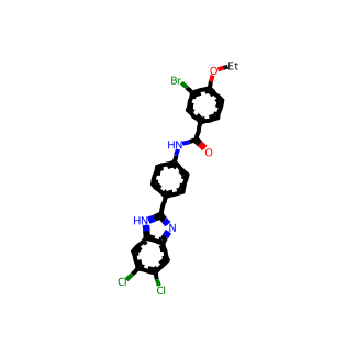 CCOc1ccc(C(=O)Nc2ccc(-c3nc4cc(Cl)c(Cl)cc4[nH]3)cc2)cc1Br